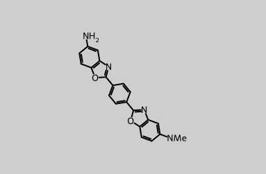 CNc1ccc2oc(-c3ccc(-c4nc5cc(N)ccc5o4)cc3)nc2c1